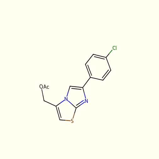 CC(=O)OCc1csc2nc(-c3ccc(Cl)cc3)cn12